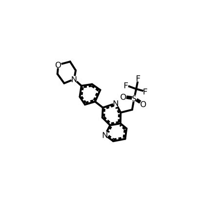 O=S(=O)(Cc1nc(-c2ccc(N3CCOCC3)cc2)cc2ncccc12)C(F)(F)F